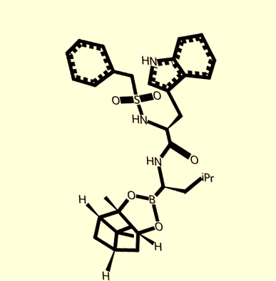 CC(C)C[C@H](NC(=O)[C@H](Cc1c[nH]c2ccccc12)NS(=O)(=O)Cc1ccccc1)B1O[C@@H]2C[C@@H]3C[C@@H](C3(C)C)[C@]2(C)O1